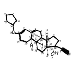 C#C[C@]1(O)CC[C@H]2[C@@H]3CC=C4C=C(OC5CCCC5)CC[C@@H]4[C@H]3CC[C@@]21C